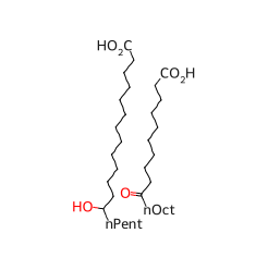 CCCCCC(O)CCCCCCCCCCCC(=O)O.CCCCCCCCC(=O)CCCCCCCCC(=O)O